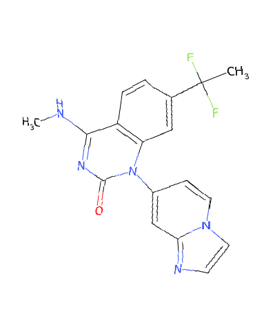 CNc1nc(=O)n(-c2ccn3ccnc3c2)c2cc(C(C)(F)F)ccc12